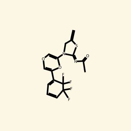 C=C1CN(C2=COC=C(C3=CC=CC(F)(F)C3(F)F)O2)C(=NC(C)=O)S1